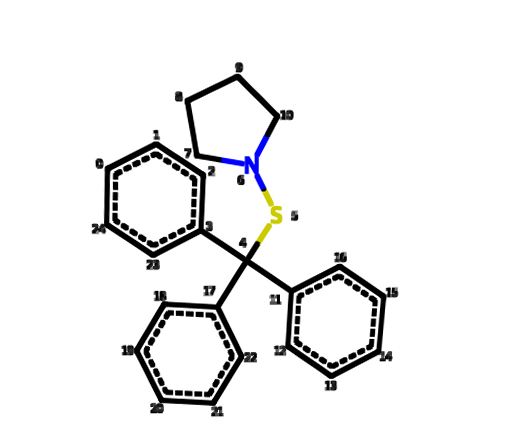 c1ccc(C(SN2CCCC2)(c2ccccc2)c2ccccc2)cc1